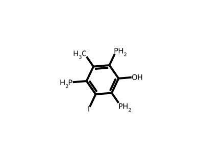 Cc1c(P)c(O)c(P)c(I)c1P